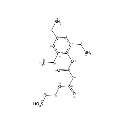 BCc1cc(CB)c(OC(=O)CC(=O)OCCS(=O)(=O)O)c(CB)c1